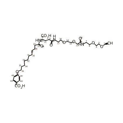 C#COCCOCCNC(=O)COCCOCCNC(=O)CC[C@H](NC(=O)CCCCCCCCCCOc1ccc(C(=O)O)cc1)C(=O)O